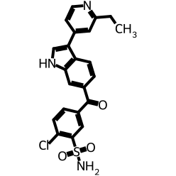 CCc1cc(-c2c[nH]c3cc(C(=O)c4ccc(Cl)c(S(N)(=O)=O)c4)ccc23)ccn1